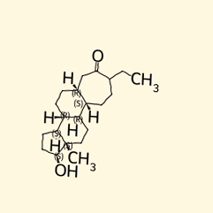 CCC1CC[C@H]2[C@H](CC[C@@H]3[C@@H]2CC[C@]2(C)[C@@H](O)CC[C@@H]32)CC1=O